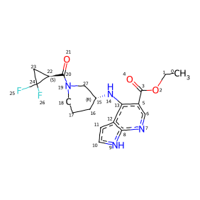 CCOC(=O)c1cnc2[nH]ccc2c1N[C@@H]1CCCN(C(=O)[C@@H]2CC2(F)F)C1